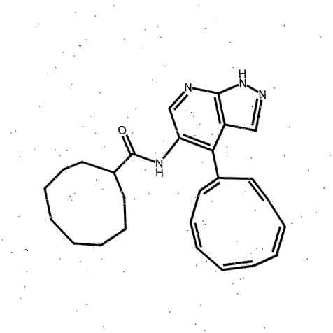 O=C(Nc1cnc2[nH]ncc2c1-c1ccccccccc1)C1CCCCCCCC1